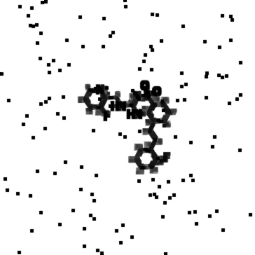 O=S1(=O)N=C(NCc2ncccc2F)Nc2c(C=Cc3ccccc3F)cccc21